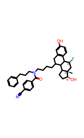 C[C@]12C[C@H](F)C3c4ccc(O)cc4CC(CCCCN(CCCc4ccccc4)C(=O)c4ccc(C#N)cc4)C3C1CC[C@@H]2O